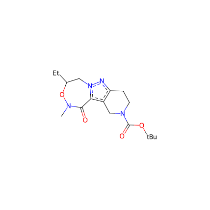 CCC1Cn2nc3c(c2C(=O)N(C)O1)CN(C(=O)OC(C)(C)C)CC3